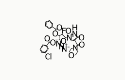 [N-]=[N+]=N[C@]1(COC(=O)c2cccc(Cl)c2)O[C@@H](n2cc(C(=O)N3CCOCC3)c(=O)[nH]c2=O)[C@@H](F)[C@@H]1OC(=O)c1ccccc1